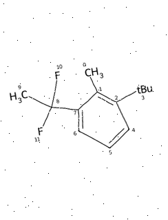 Cc1c(C(C)(C)C)cccc1C(C)(F)F